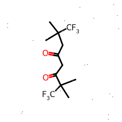 CC(C)(CC(=O)CC(=O)C(C)(C)C(F)(F)F)C(F)(F)F